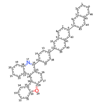 c1ccc2cc(-c3ccc4cc(-c5ccc(-c6nc7ccccc7c7c6ccc6oc8ccccc8c67)cc5)ccc4c3)ccc2c1